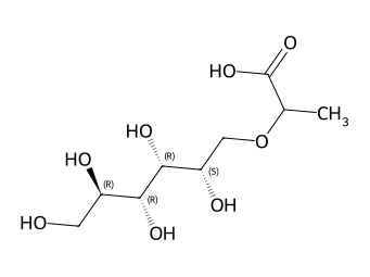 CC(OC[C@H](O)[C@@H](O)[C@H](O)[C@H](O)CO)C(=O)O